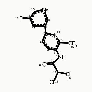 O=C(Nc1ccc(-c2cncc(F)c2)nc1C(F)(F)F)C(Cl)Cl